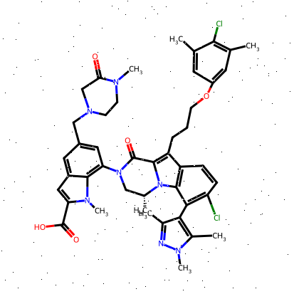 Cc1cc(OCCCc2c3n(c4c(-c5c(C)nn(C)c5C)c(Cl)ccc24)[C@H](C)CN(c2cc(CN4CCN(C)C(=O)C4)cc4cc(C(=O)O)n(C)c24)C3=O)cc(C)c1Cl